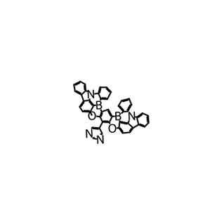 c1ccc2c(c1)B1c3cc4c(c(-c5cncnc5)c3Oc3ccc5c6ccccc6n-2c5c31)Oc1ccc2c3ccccc3n3c2c1B4c1ccccc1-3